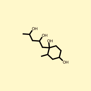 CC(O)CC(O)CC1(O)CCC(O)CC1C